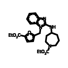 CCOC(=O)c1ccc(Cn2c(NC3CCCN(C(=O)OCC)CC3)nc3ccccc32)o1